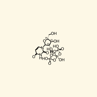 O=P(O)(O)OP(=O)(O)OP(=O)(O)O.O=c1ccn(C2O[C@H](CO)[C@@H](O)[C@@H]2O)c(=O)[nH]1